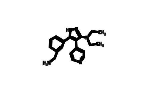 CCN(CC)c1n[nH]c(-c2cccc(CN)c2)c1-c1ccncc1